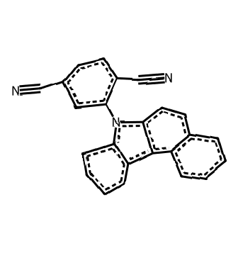 N#Cc1ccc(C#N)c(-n2c3ccccc3c3c4ccccc4ccc32)c1